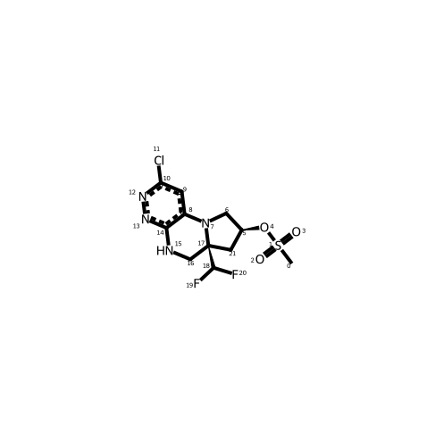 CS(=O)(=O)O[C@@H]1CN2c3cc(Cl)nnc3NC[C@@]2(C(F)F)C1